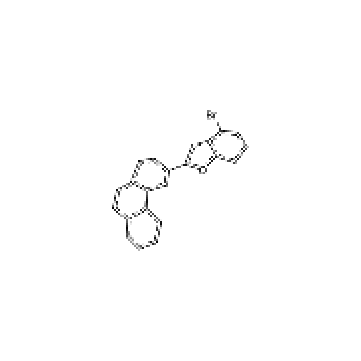 Brc1cccc2oc(-c3ccc4ccc5ccccc5c4c3)cc12